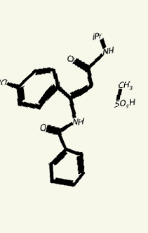 CC(C)NC(=O)C=C(NC(=O)c1ccccc1)c1ccc(O)cc1.CS(=O)(=O)O